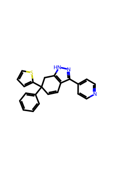 C1=CC(c2ccccc2)(c2cccs2)Cc2[nH]nc(-c3ccncc3)c21